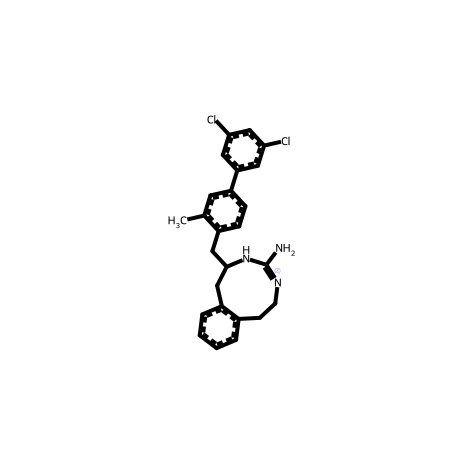 Cc1cc(-c2cc(Cl)cc(Cl)c2)ccc1CC1Cc2ccccc2CC/N=C(/N)N1